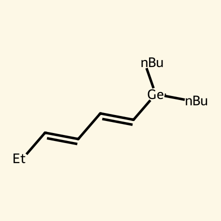 CCC=CC=[CH][Ge]([CH2]CCC)[CH2]CCC